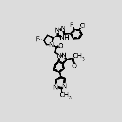 CC(=O)c1nn(CC(=O)N2C[C@H](F)C[C@H]2c2nnc(-c3cccc(Cl)c3F)[nH]2)c2ccc(-c3cnc(C)nc3)cc12